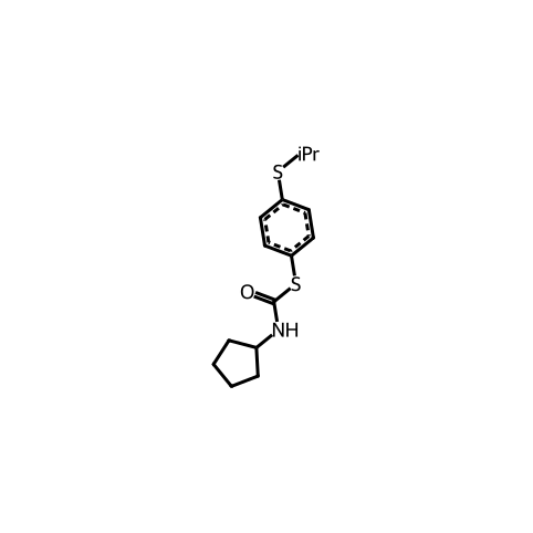 CC(C)Sc1ccc(SC(=O)NC2CCCC2)cc1